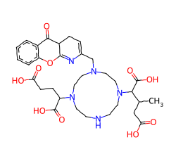 CC(CC(=O)O)C(C(=O)O)N1CCNCCN(C(CCC(=O)O)C(=O)O)CCN(CC2=CCC3C(=O)c4ccccc4OC3=N2)CC1